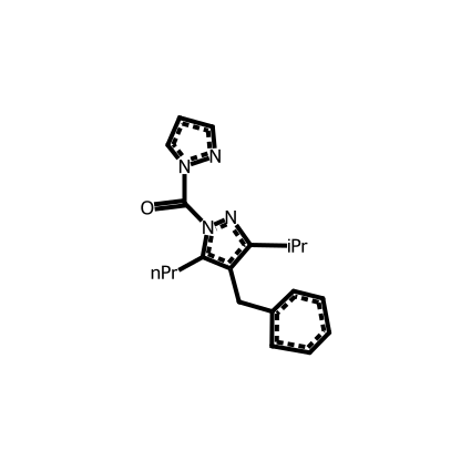 CCCc1c(Cc2ccccc2)c(C(C)C)nn1C(=O)n1cccn1